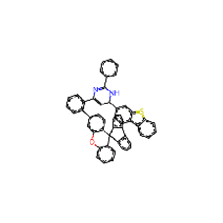 C1=C(c2ccccc2-c2ccc3c(c2)Oc2ccccc2C32c3ccccc3-c3ccccc32)N=C(c2ccccc2)NC1c1ccc2c(c1)sc1ccccc12